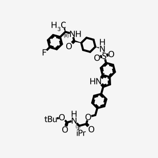 CC(C)[C@H](NC(=O)OC(C)(C)C)C(=O)OCc1ccc(-c2cc3ccc(S(=O)(=O)N[C@H]4CC[C@H](C(=O)N[C@H](C)c5ccc(F)cc5)CC4)cc3[nH]2)cc1